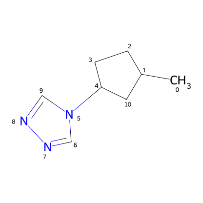 CC1CCC(n2cnnc2)C1